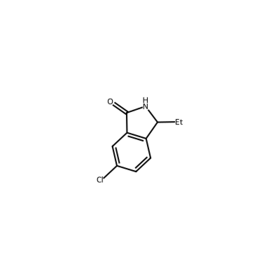 CCC1NC(=O)c2cc(Cl)ccc21